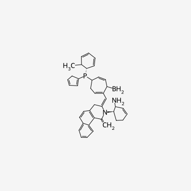 BC1C=CC(P(C2=CC=CC2)[C@H]2C=CC=CC2C)CC=C1/C=C1\Cc2ccc3ccccc3c2C(=C)N1[C@@H]1CCC=CC1N